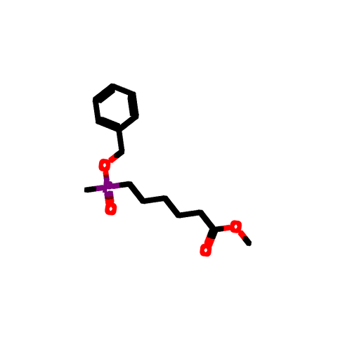 COC(=O)CCCCCP(C)(=O)OCc1ccccc1